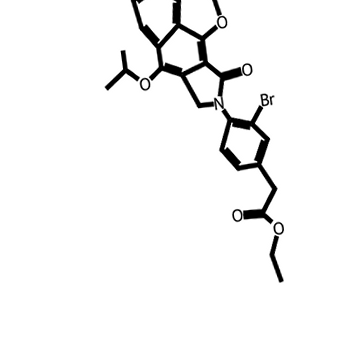 CCOC(=O)Cc1ccc(N2Cc3c(c(OC(C)C)c4ccccc4c3OC(C)C)C2=O)c(Br)c1